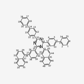 c1ccc(-c2ccc(-c3nc(-c4ccc(-c5ccccc5)cc4)nc(-c4cc(-c5cccc6ccccc56)ccc4-c4cccc5ccccc45)n3)cc2)cc1